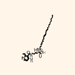 CCC=CCC=CCC=CCC=CCC=CCC=CCCC(=O)N[C@@H](CCCCNC(=O)c1cccnc1CC)C(=O)O